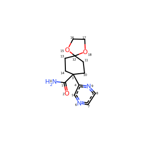 NC(=O)C1(c2cnccn2)CCC2(CC1)OCCO2